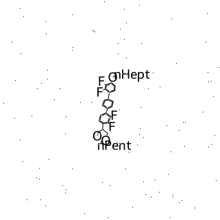 CCCCCCCOc1ccc(-c2ccc(-c3ccc(C4COC(CCCCC)OC4)c(F)c3F)cc2)c(F)c1F